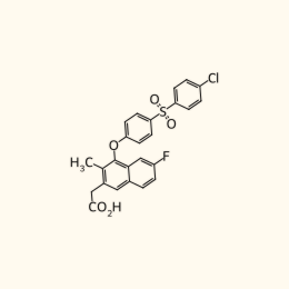 Cc1c(CC(=O)O)cc2ccc(F)cc2c1Oc1ccc(S(=O)(=O)c2ccc(Cl)cc2)cc1